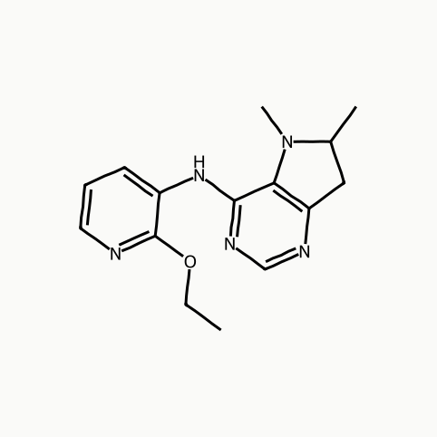 CCOc1ncccc1Nc1ncnc2c1N(C)C(C)C2